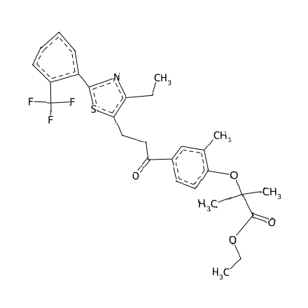 CCOC(=O)C(C)(C)Oc1ccc(C(=O)CCc2sc(-c3ccccc3C(F)(F)F)nc2CC)cc1C